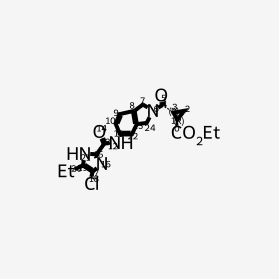 CCOC(=O)[C@@H]1C[C@H]1C(=O)N1Cc2ccc(NC(=O)c3nc(Cl)c(CC)[nH]3)cc2C1